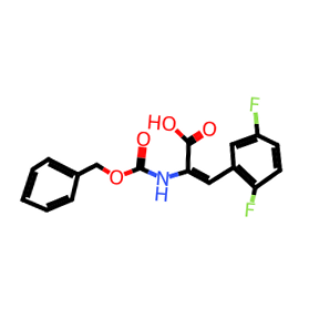 O=C(N/C(=C/c1cc(F)ccc1F)C(=O)O)OCc1ccccc1